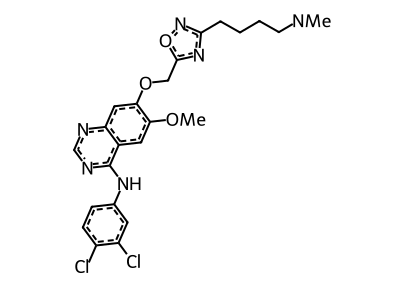 CNCCCCc1noc(COc2cc3ncnc(Nc4ccc(Cl)c(Cl)c4)c3cc2OC)n1